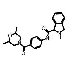 CC1CN(C(=O)c2ccc(NC(=O)C3NCc4ccccc43)cc2)CC(C)O1